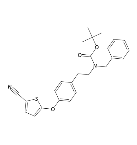 CC(C)(C)OC(=O)N(CCc1ccc(Oc2ccc(C#N)s2)cc1)Cc1ccccc1